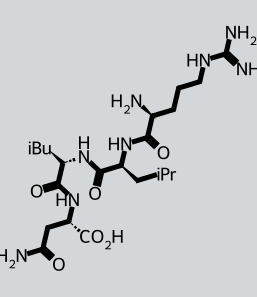 CC[C@H](C)[C@H](NC(=O)[C@H](CC(C)C)NC(=O)[C@@H](N)CCCNC(=N)N)C(=O)N[C@@H](CC(N)=O)C(=O)O